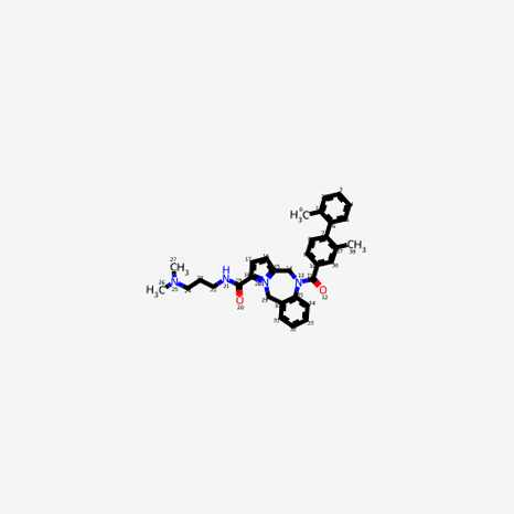 Cc1ccccc1-c1ccc(C(=O)N2Cc3ccc(C(=O)NCCCN(C)C)n3Cc3ccccc32)cc1C